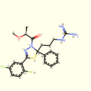 CO[C@@H](C)C(=O)N1N=C(c2cc(F)ccc2F)SC1(CCCNC(=N)N)c1ccccc1